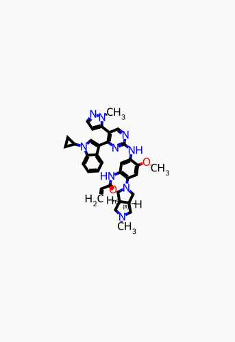 C=CC(=O)Nc1cc(Nc2ncc(-c3ccnn3C)c(-c3cn(C4CC4)c4ccccc34)n2)c(OC)cc1N1C[C@H]2CN(C)C[C@H]2C1